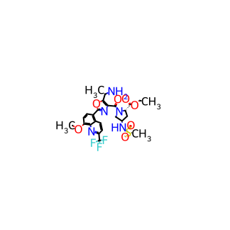 CCOC(=O)[C@@H]1C[C@H](NS(C)(=O)=O)CN1C(=O)c1nc(-c2ccc(OC)c3nc(C(F)(F)F)ccc23)oc1[C@H](C)N